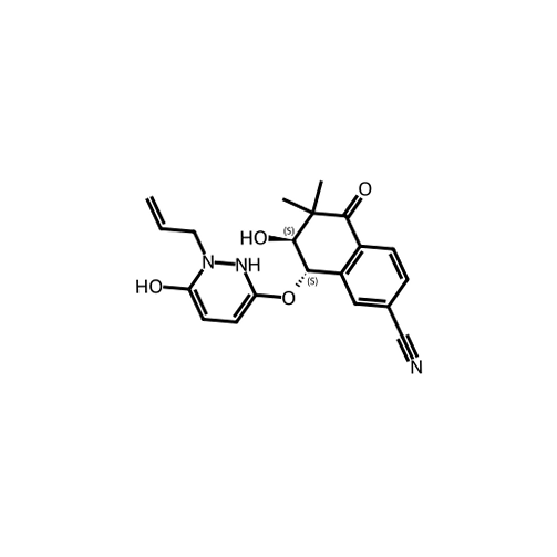 C=CCN1NC(O[C@H]2c3cc(C#N)ccc3C(=O)C(C)(C)[C@@H]2O)=CC=C1O